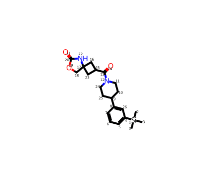 C[Si](C)(C)c1cccc(C2CCN(C(=O)C3CC4(COC(=O)N4)C3)CC2)c1